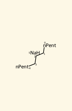 [C]CCCCCCCCCCCC.[NaH]